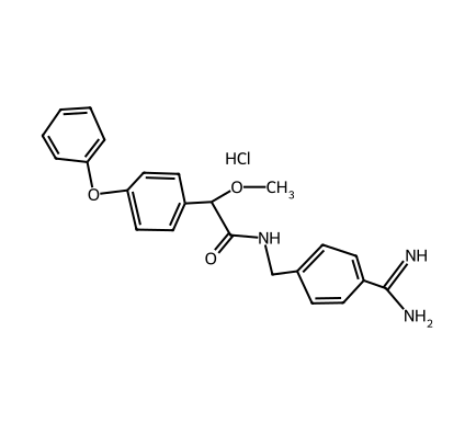 COC(C(=O)NCc1ccc(C(=N)N)cc1)c1ccc(Oc2ccccc2)cc1.Cl